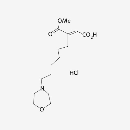 COC(=O)/C(=C/C(=O)O)CCCCCCN1CCOCC1.Cl